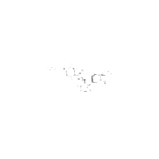 COc1ccc(S(=O)(=O)Nc2cccnc2-c2ccc(C#N)c(F)c2)cc1